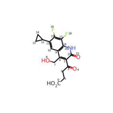 O=C(O)CCC(=O)c1c(CO)c2cc(C3CC3)c(F)c(F)c2[nH]c1=O